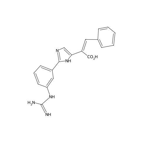 N=C(N)Nc1cccc(-c2ncc(C(=Cc3ccccc3)C(=O)O)[nH]2)c1